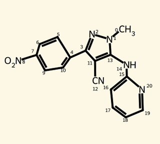 Cn1nc(-c2ccc([N+](=O)[O-])cc2)c(C#N)c1Nc1ccccn1